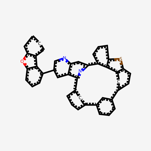 c1cc2cc(c1)c1ccc3sc4cccc(c5cc6ncc(-c7cccc8oc9ccccc9c78)cc6c(n5)c5cccc2c5)c4c3c1